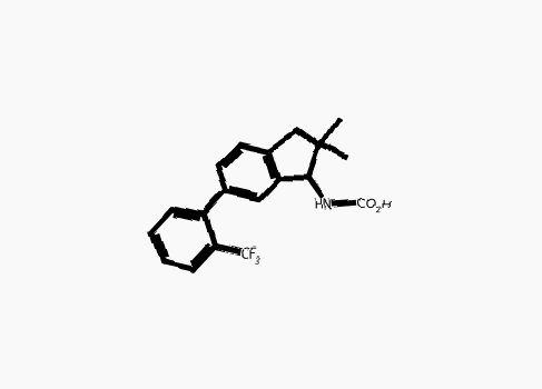 CC1(C)Cc2ccc(-c3ccccc3C(F)(F)F)cc2C1NC(=O)O